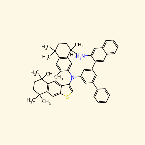 Cc1cc2c(cc1N(c1cc(-c3ccccc3)cc(-c3cc4ccccc4cc3N)c1)c1csc3cc4c(cc13)C(C)(C)CCC4(C)C)C(C)(C)CCC2(C)C